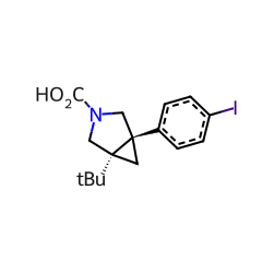 CC(C)(C)[C@]12CN(C(=O)O)C[C@]1(c1ccc(I)cc1)C2